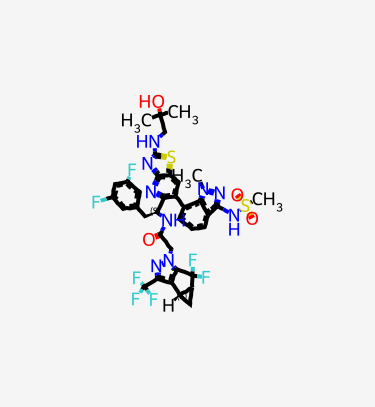 Cn1nc(NS(C)(=O)=O)c2cccc(-c3cc4sc(NCC(C)(C)O)nc4nc3[C@H](Cc3cc(F)cc(F)c3)NC(=O)Cn3nc(C(F)(F)F)c4c3C(F)(F)C3C[C@H]43)c21